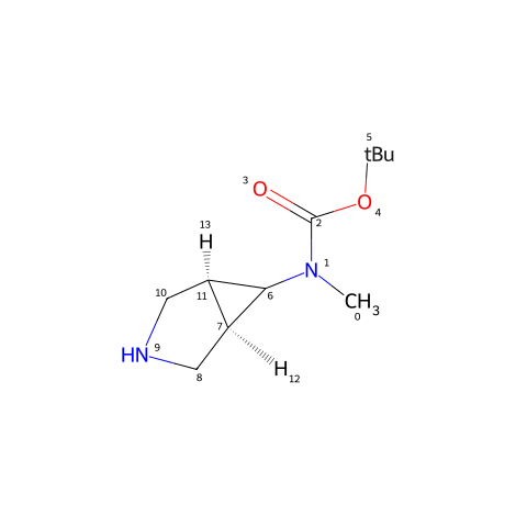 CN(C(=O)OC(C)(C)C)C1[C@H]2CNC[C@@H]12